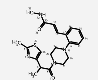 Cc1nc(C(C)C(=O)N2CCN(c3ccccc3/C=C/C(=O)NO)CC2)cs1